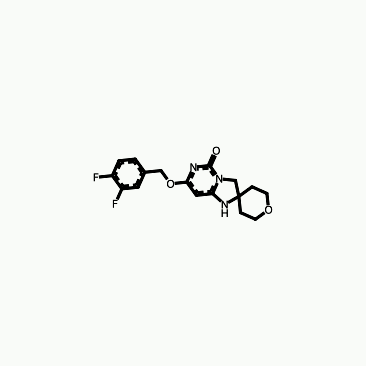 O=c1nc(OCc2ccc(F)c(F)c2)cc2n1CC1(CCOCC1)N2